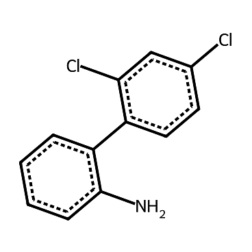 Nc1ccccc1-c1ccc(Cl)cc1Cl